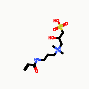 C=CC(=O)NCCC[N+](C)(C)CC(O)CS(=O)(=O)O